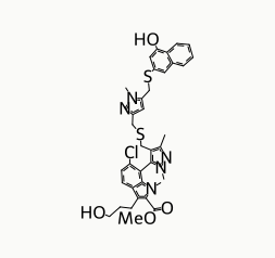 COC(=O)c1c(CCCO)c2ccc(Cl)c(-c3c(CSCc4cc(CSc5cc(O)c6ccccc6c5)n(C)n4)c(C)nn3C)c2n1C